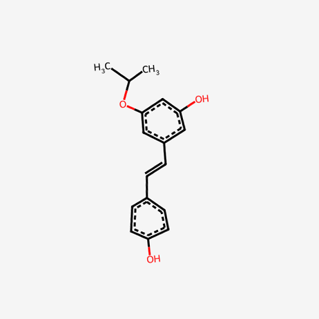 CC(C)Oc1cc(O)cc(/C=C/c2ccc(O)cc2)c1